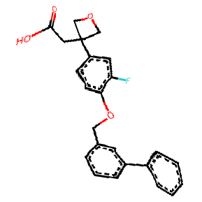 O=C(O)CC1(c2ccc(OCc3cccc(-c4ccccc4)c3)c(F)c2)COC1